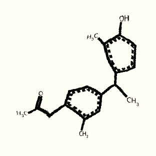 CC(=O)Cc1ccc(C(C)c2ccc(O)c(C)c2)cc1C